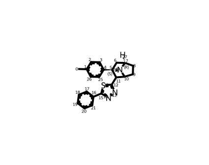 Cc1ccc([C@H]2C[C@H]3CCC(C2c2nnc(-c4ccccc4)s2)N3C)cc1